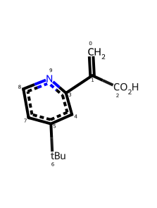 C=C(C(=O)O)c1cc(C(C)(C)C)ccn1